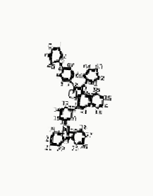 c1ccc(-c2ccc(-c3oc4c(-c5cccc(-n6c7ccccc7c7ccccc76)c5)cc5ccccc5c4c3-c3ccccc3)cc2)cc1